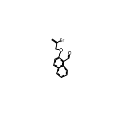 C=C(Br)COc1ccc2ccccc2c1C=O